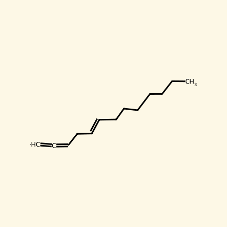 [CH]=C=CCC=CCCCCCCC